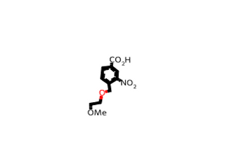 COCCOCc1ccc(C(=O)O)cc1[N+](=O)[O-]